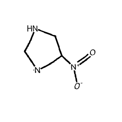 O=[N+]([O-])C1CNC[N]1